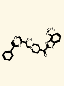 COc1cccc2sc(C(=O)C3CCN(CC(O)C4=COC=C(C5=CC=CCC5)O4)CC3)nc12